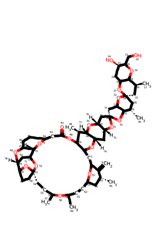 C=C1C2CC3O[C@H]4C[C@H]5O[C@@]6(CC7O[C@]8(C[C@H](C)C9OC(CO)[C@H](O)CC9O8)C[C@H](C)C7O6)C[C@H]5O[C@H]4[C@H](C)C3OC(=O)CC3CCC4O[C@@H]5CC(O[C@@]6(CCC(C)OC(C)CCC(C[C@H]1C)O2)CCC5O6)[C@H]4O3